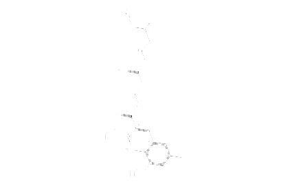 Cc1cc(C)c2c(c1)C=C(C(=O)OCOC(=O)OCC[C@H](C)O[N+](=O)[O-])[C@@H](C(F)(F)F)O2